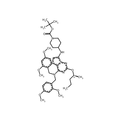 CCC[C@H](C)Oc1nc(N(Cc2ccc(OC)cc2OC)Cc2ccc(OC)cc2OC)c2ncc(NC3CCN(C(=O)OC(C)(C)C)CC3)n2n1